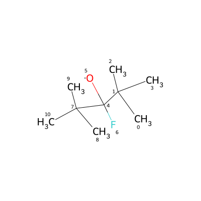 CC(C)(C)C([O])(F)C(C)(C)C